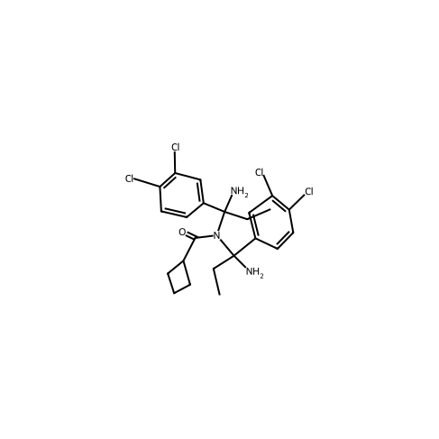 CCC(N)(c1ccc(Cl)c(Cl)c1)N(C(=O)C1CCC1)C(N)(CC)c1ccc(Cl)c(Cl)c1